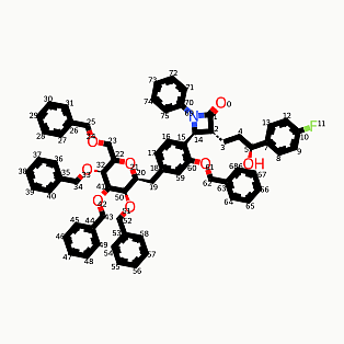 O=C1[C@H](CC[C@H](O)c2ccc(F)cc2)[C@@H](c2ccc(C[C@@H]3OC(COCc4ccccc4)[C@@H](OCc4ccccc4)C(OCc4ccccc4)[C@@H]3OCc3ccccc3)cc2OCc2ccccc2)N1c1ccccc1